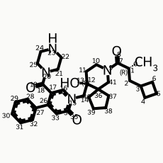 C[C@H](CC1CCC1)C(=O)N1CC[C@@](O)(Cn2cc(C(=O)N3CCNCC3)c(-c3ccccc3)cc2=O)C2(CCCC2)C1